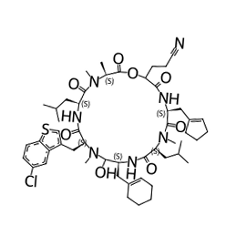 CC(C)C[C@@H]1NC(=O)[C@H](Cc2csc3ccc(Cl)cc23)N(C)C(O)[C@H](CC2=CCCCC2)NC(=O)[C@H](CC(C)C)N(C)C(=O)[C@H](CC2=CCCC2)NC(=O)C(CCC#N)OC(=O)[C@H](C)N(C)C1=O